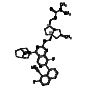 C#Cc1c(F)ccc2cccc(-c3ncc4c(N5CC6CCC(C5)N6)nc(OC[C@@]56CC[C@@H](COC(=O)N(C)C)N5CC(=C)C6)nc4c3F)c12